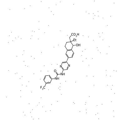 CCC1(CC(=O)O)CCc2cc(-c3cnc(NC(=O)Nc4cccc(C(F)(F)F)c4)cn3)ccc2C1O